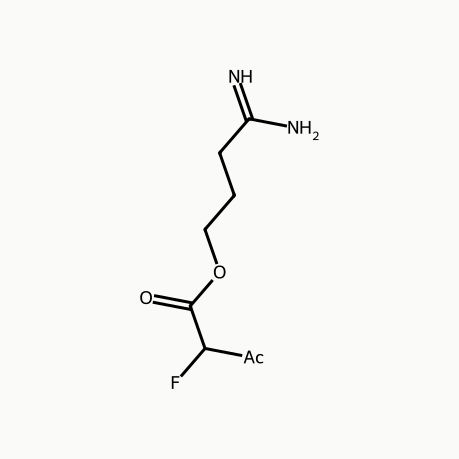 CC(=O)C(F)C(=O)OCCCC(=N)N